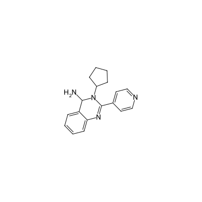 NC1c2ccccc2N=C(c2ccncc2)N1C1CCCC1